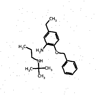 CCCNC(C)(C)C.CCc1ccc(OCc2ccccc2)c(N)c1